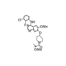 COc1cc2c(Nc3cccc(Cl)c3F)ncnc2cc1OC1CCN(C(=O)[C@@H](C)OC)CC1